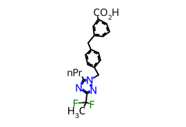 CCCc1nc(C(C)(F)F)nn1Cc1ccc(Cc2cccc(C(=O)O)c2)cc1